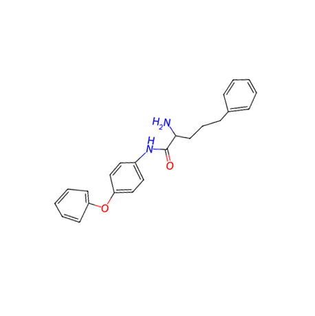 NC(CCCc1ccccc1)C(=O)Nc1ccc(Oc2ccccc2)cc1